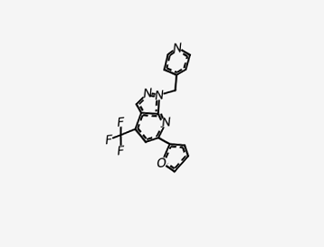 FC(F)(F)c1cc(-c2ccco2)nc2c1cnn2Cc1ccncc1